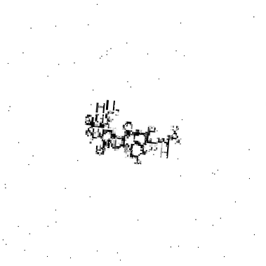 CC[C@@]1(O)C(=O)OCc2c1cc1n(c2=O)Cc2c-1c(=O)c1cc(F)c(CCNC3CC3)c3c1n2CCC3